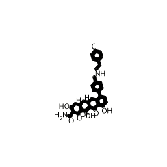 NC(=O)C1C(=O)[C@@]2(O)C(O)=C3C(=O)c4c(O)ccc(-c5ccc(CNCCc6ccc(Cl)cc6)cc5)c4C[C@H]3C[C@H]2CC1O